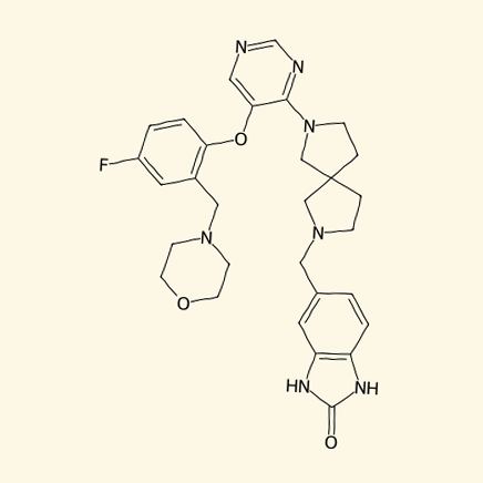 O=c1[nH]c2ccc(CN3CCC4(CCN(c5ncncc5Oc5ccc(F)cc5CN5CCOCC5)C4)C3)cc2[nH]1